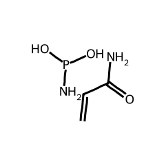 C=CC(N)=O.NP(O)O